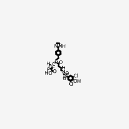 CN(CCc1ccc(C2=NCCN2)cc1)C(=O)CCCNCS(=O)(=O)c1cc(Cl)c(O)c(Cl)c1.O=C(O)C(F)(F)F